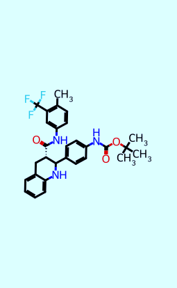 Cc1ccc(NC(=O)[C@H]2Cc3ccccc3NC2c2ccc(NC(=O)OC(C)(C)C)cc2)cc1C(F)(F)F